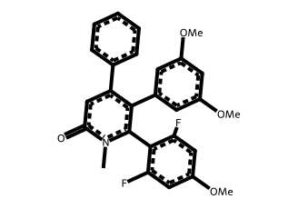 COc1cc(OC)cc(-c2c(-c3ccccc3)cc(=O)n(C)c2-c2c(F)cc(OC)cc2F)c1